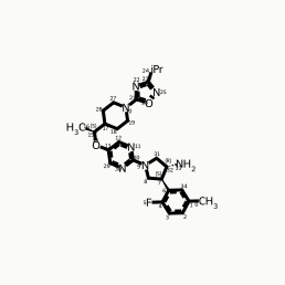 Cc1ccc(F)c([C@H]2CN(c3ncc(O[C@@H](C)C4CCN(c5nc(C(C)C)no5)CC4)cn3)C[C@@H]2N)c1